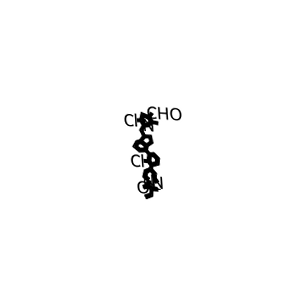 C=Cc1cnc2cc(-c3cccc(-c4cccc5c4CCC5Cc4nc(C)c(C=O)cc4Cl)c3Cl)ccn2c1=O